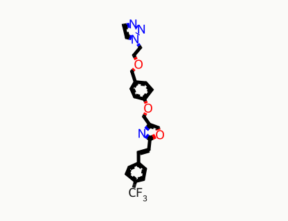 FC(F)(F)c1ccc(C=Cc2nc(COc3ccc(COCCn4ccnn4)cc3)co2)cc1